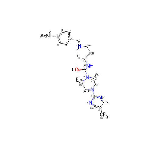 CC(=O)Nc1ccc(CN2CCC(NC(=O)N3[C@H](C)CN(c4ncc(C(F)(F)F)cn4)C[C@@H]3C)CC2)cc1